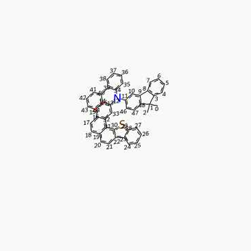 CC1(C)c2ccccc2-c2cc(N(c3ccc4ccc5ccc6c7ccccc7sc6c5c4c3)c3ccccc3-c3ccccc3)ccc21